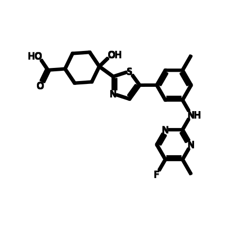 Cc1cc(Nc2ncc(F)c(C)n2)cc(-c2cnc(C3(O)CCC(C(=O)O)CC3)s2)c1